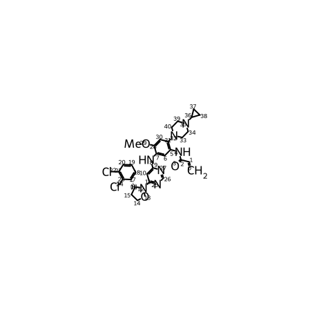 C=CC(=O)Nc1cc(Nc2cc(N3OCC[C@@H]3c3cccc(Cl)c3Cl)ncn2)c(OC)cc1N1CCN(C2CC2)CC1